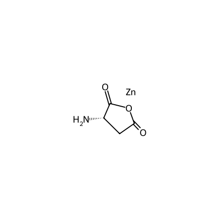 N[C@H]1CC(=O)OC1=O.[Zn]